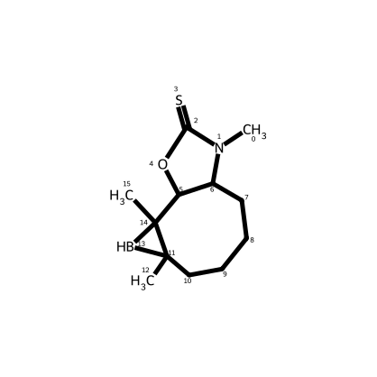 CN1C(=S)OC2C1CCCCC1(C)BC21C